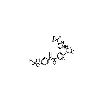 O=C(Nc1ccc(OC(F)(F)Cl)cc1)c1cnc(N2CCOC2)c(-c2cc(C(F)(F)F)n[nH]2)c1